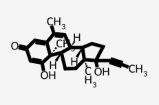 CC#CC1(O)CC[C@H]2[C@@H]3C=C(C)C4=CC(=O)C=C(O)[C@]4(C)[C@H]3CC[C@@]21C